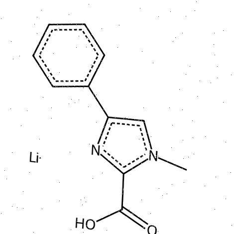 Cn1cc(-c2ccccc2)nc1C(=O)O.[Li]